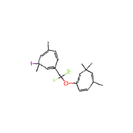 CC1=CC(C)(C)C=C(OC(F)(F)C2=CC(C)(I)C=C(C)C=C2)C=C1